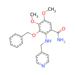 COc1cc(C(N)=O)c(NCc2ccncc2)c(OCc2ccccc2)c1OC